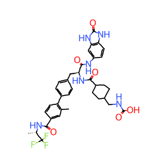 Cc1cc(C(=O)N[C@@H](C)C(F)(F)F)ccc1-c1ccc(C[C@H](NC(=O)C2CCC(CNC(=O)O)CC2)C(=O)Nc2ccc3[nH]c(=O)[nH]c3c2)cc1